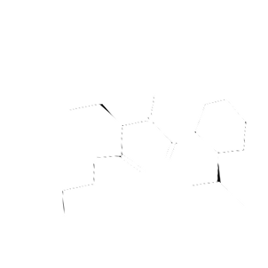 CCCOC(=O)[C@@H](CC)N(C)C(=O)[C@@H]1C[C@H](C)CC[C@H]1C(C)C